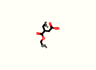 CCOC(=O)C(CC)CC(=O)O